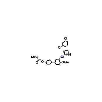 COC(=O)COc1ccc(-c2ccc(OC)c(/C=C/c3nc(-c4ccc(Cl)cc4Cl)c[nH]3)c2)cc1